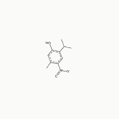 Cc1cc(O)c(C(C)C)cc1[N+](=O)[O-]